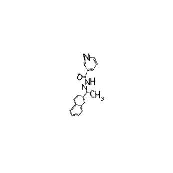 C/C(=N\NC(=O)c1cccnc1)c1ccc2ccccc2c1